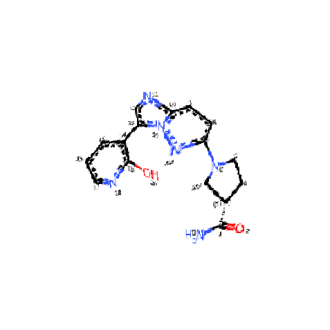 NC(=O)[C@H]1CCN(c2ccc3ncc(-c4cccnc4O)n3n2)C1